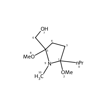 CCCC1(OC)CCC(CO)(OC)N1C